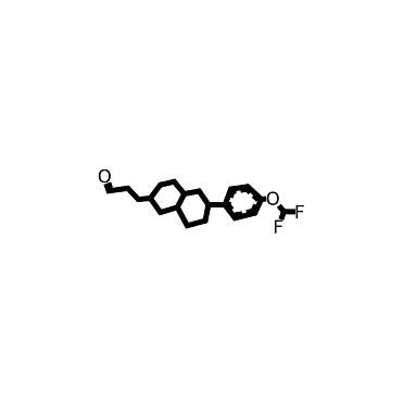 O=CCCC1CCC2CC(c3ccc(OC(F)F)cc3)CCC2C1